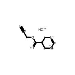 C#CCOC(=O)C1CN=CNC1.Cl